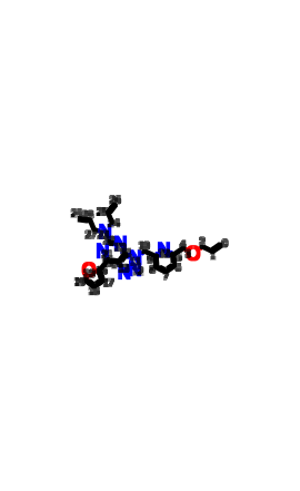 C=CCOCc1cccc(Cn2nnc3c(-c4ccco4)nc(N(CC=C)CC=C)nc32)n1